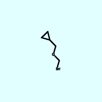 [Sn][CH2]OCC1CC1